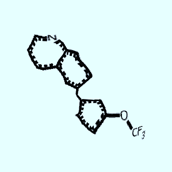 FC(F)(F)Oc1cccc(-c2ccc3ncccc3c2)c1